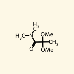 COC(C)(OC)C(=O)N(C)C